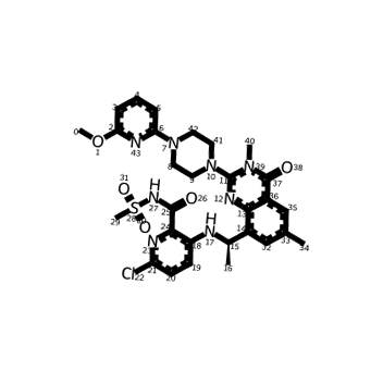 COc1cccc(N2CCN(c3nc4c([C@@H](C)Nc5ccc(Cl)nc5C(=O)NS(C)(=O)=O)cc(C)cc4c(=O)n3C)CC2)n1